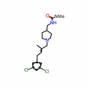 CNC(=O)NCC1CCN(C/C(C)=C/Cc2cc(Cl)cc(Cl)c2)CC1